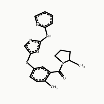 Cc1ccc(Sc2cnc(Nc3ccccn3)s2)cc1C(=O)N1CCCC1C